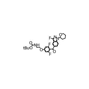 CC(C)(C)OC(=O)NCCOc1cc(F)c(C(=O)c2ccc3c(c2)c(F)nn3C2CCCCO2)c(F)c1